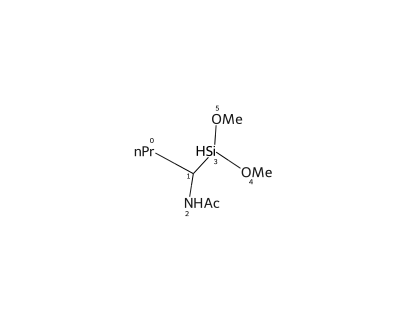 CCCC(NC(C)=O)[SiH](OC)OC